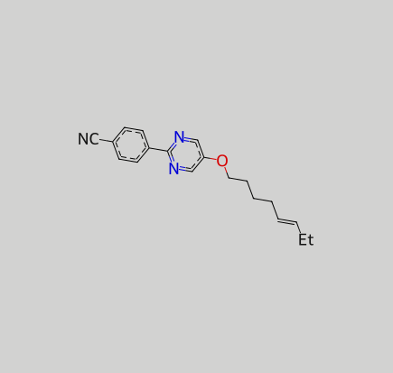 CCC=CCCCCOc1cnc(-c2ccc(C#N)cc2)nc1